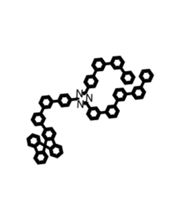 c1ccc(-c2cccc(-c3cccc(-c4ccc(-c5nc(-c6ccc(-c7cccc(-c8cccc(-c9ccc%10c(c9)C9(c%11ccccc%11-c%11ccccc%119)c9ccccc9-%10)c8)c7)cc6)nc(-c6cccc(-c7cccc(-c8cccc(-c9cccc(-c%10ccccc%10)c9)c8)c7)c6)n5)cc4)c3)c2)cc1